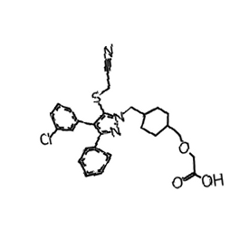 N#CCSc1c(-c2cccc(Cl)c2)c(-c2ccccc2)nn1CC1CCC(COCC(=O)O)CC1